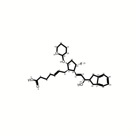 O=C(O)CCCC=CC[C@@H]1[C@H](C=C[C@H](O)C2Cc3ccccc3C2)[C@@H](F)C[C@H]1OC1CCCCO1